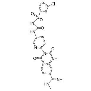 CNC(=N)c1ccc2c(=O)n(-c3ccc(NC(=O)NS(=O)(=O)c4ccc(Cl)s4)cn3)c(=O)[nH]c2c1